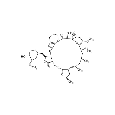 C=CC[C@@H]1/C=C(\C)C[C@H](C)C[C@H](OC)[C@H]2O[C@@](O)(C(=O)C(=O)N3CCCC[C@H]3C(=O)O[C@H](/C(C)=C/[C@@H]3CC[C@@H](O)[C@H](OC)C3)[C@H](C)CCC1=O)[C@H](C)C[C@@H]2OC